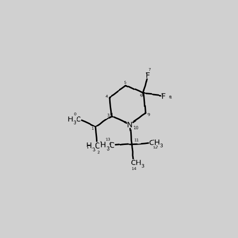 CC(C)C1CCC(F)(F)CN1C(C)(C)C